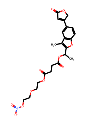 Cc1c(C(C)OC(=O)CCC(=O)OCCOCCO[N+](=O)[O-])oc2ccc(C3=CC(=O)OC3)cc12